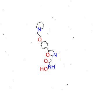 O=C(Cc1ncc(-c2ccc(OCCN3CCCCC3)cc2)o1)NO